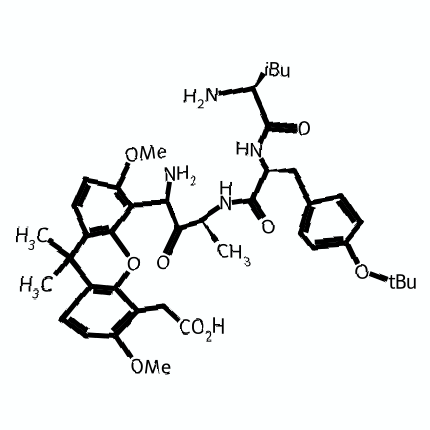 CCC(C)[C@H](N)C(=O)N[C@@H](Cc1ccc(OC(C)(C)C)cc1)C(=O)N[C@@H](C)C(=O)C(N)c1c(OC)ccc2c1Oc1c(ccc(OC)c1CC(=O)O)C2(C)C